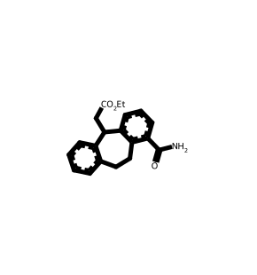 CCOC(=O)CC1c2ccccc2CCc2c(C(N)=O)cccc21